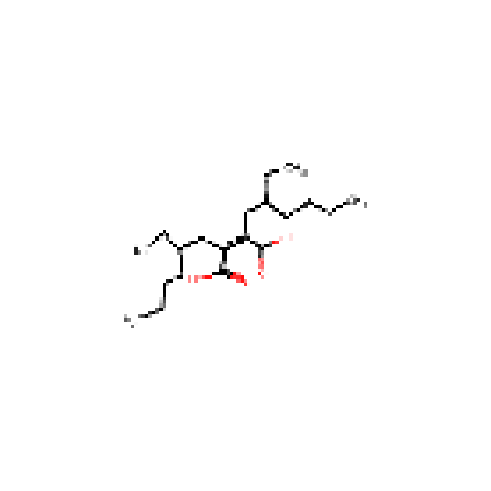 CCCCC(CC)C/C(C(=O)O)=C(\CC(CC)CCCC)C(=O)O